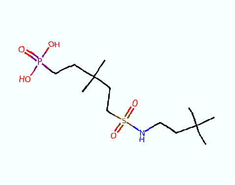 CC(C)(C)CCNS(=O)(=O)CCC(C)(C)CCP(=O)(O)O